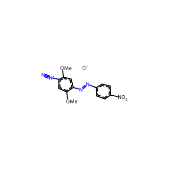 COc1cc([N+]#N)c(OC)cc1/N=N/c1ccc([N+](=O)[O-])cc1.[Cl-]